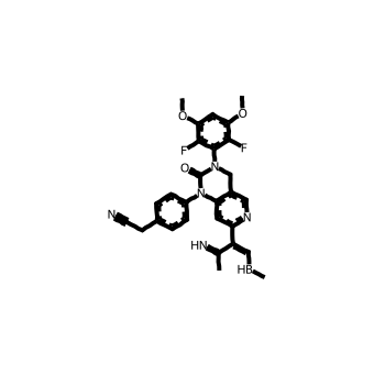 CB/C=C(\C(C)=N)c1cc2c(cn1)CN(c1c(F)c(OC)cc(OC)c1F)C(=O)N2c1ccc(CC#N)cc1